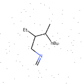 C=NCC(CC)C(C)CCCC